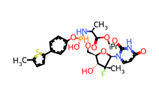 Cc1ccc(-c2ccc(O[PH](O)(N[C@@H](C)C(=O)OC(C)C)OC[C@H]3O[C@@H](n4ccc(=O)[nH]c4=O)[C@](C)(F)[C@@H]3O)cc2)s1